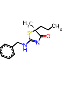 CCC[C@]1(C)SC(NCc2ccccc2)=NC1=O